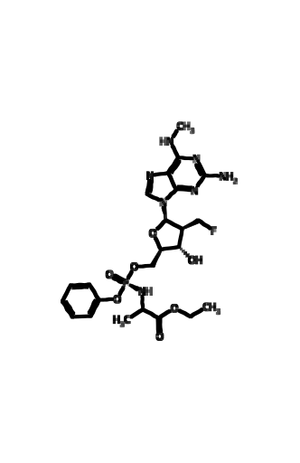 CCOC(=O)C(C)N[P@@](=O)(OC[C@H]1O[C@@H](n2cnc3c(NC)nc(N)nc32)[C@@H](CF)[C@@H]1O)Oc1ccccc1